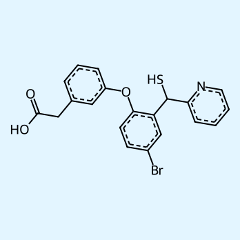 O=C(O)Cc1cccc(Oc2ccc(Br)cc2C(S)c2ccccn2)c1